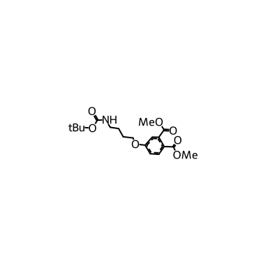 COC(=O)c1ccc(OCCCCNC(=O)OC(C)(C)C)cc1C(=O)OC